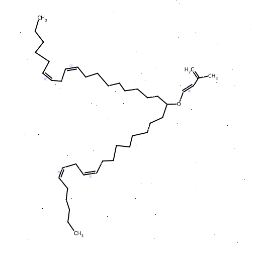 C=C(C)/C=C/OC(CCCCCCCC/C=C\C/C=C\CCCCC)CCCCCCCC/C=C\C/C=C\CCCCC